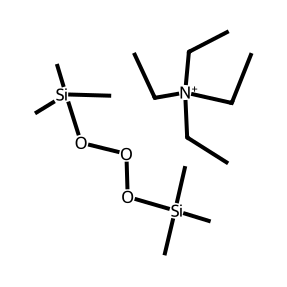 CC[N+](CC)(CC)CC.C[Si](C)(C)OOO[Si](C)(C)C